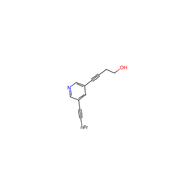 CCCC#Cc1cncc(C#CCCO)c1